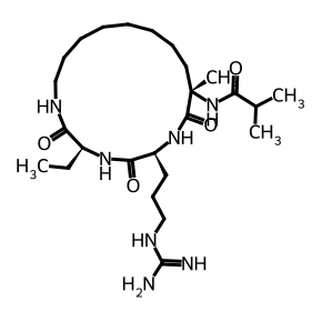 CC[C@@H]1NC(=O)[C@H](CCCNC(=N)N)NC(=O)[C@@](C)(NC(=O)C(C)C)CCCCCCCCNC1=O